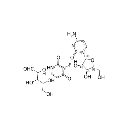 Nc1ccn([C@@H]2O[C@H](CO)[C@@H](O)[C@H]2O)c(=O)n1.O=CC(O)C(O)C(O)CO.O=c1cc[nH]c(=O)n1F